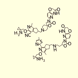 Cc1cnc(-c2nc(OCC3(N)CC3)c(C)c3c2CC(CNCCC2CN(c4ccc5c(n4)NC(=O)CO5)C(=O)O2)C3)s1.Cc1nc(OCC2(N)CC2)c(C#N)c2c1CC(CN1CCC3(CC1)CN(c1ccc4c(n1)NC(=O)CO4)C(=O)O3)C2